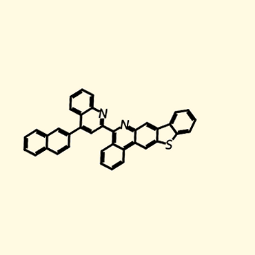 c1ccc2cc(-c3cc(-c4nc5cc6c(cc5c5ccccc45)sc4ccccc46)nc4ccccc34)ccc2c1